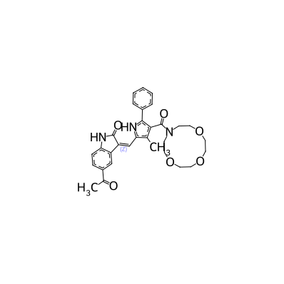 CC(=O)c1ccc2c(c1)/C(=C/c1[nH]c(-c3ccccc3)c(C(=O)N3CCOCCOCCOCC3)c1C)C(=O)N2